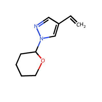 C=Cc1cnn(C2CCCCO2)c1